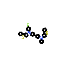 Fc1ccc(N(c2ccc(-c3ccc(N(c4ccccc4)c4ccc5sc6ccccc6c5c4)cc3)cc2)c2ccc3sc4ccccc4c3c2)cc1